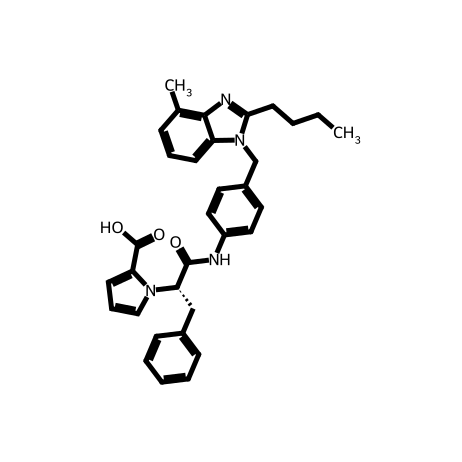 CCCCc1nc2c(C)cccc2n1Cc1ccc(NC(=O)[C@H](Cc2ccccc2)n2cccc2C(=O)O)cc1